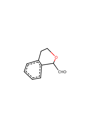 O=[C]C1OCCc2ccccc21